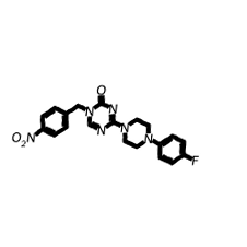 O=c1nc(N2CCN(c3ccc(F)cc3)CC2)ncn1Cc1ccc([N+](=O)[O-])cc1